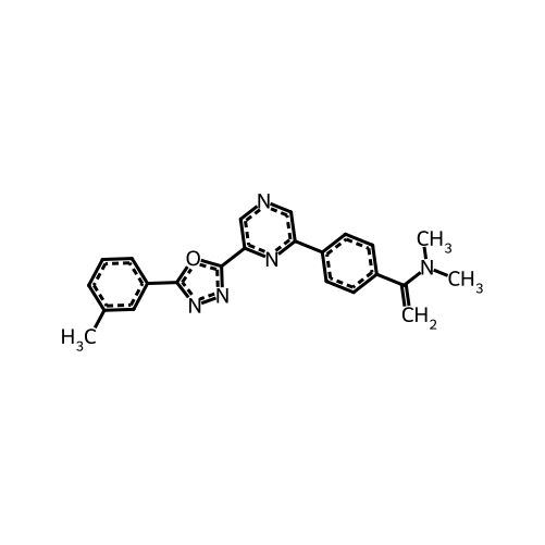 C=C(c1ccc(-c2cncc(-c3nnc(-c4cccc(C)c4)o3)n2)cc1)N(C)C